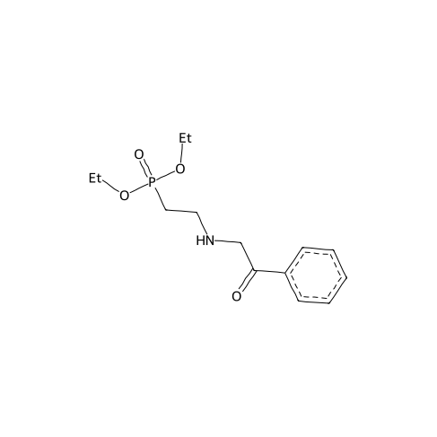 CCOP(=O)(CCNCC(=O)c1ccccc1)OCC